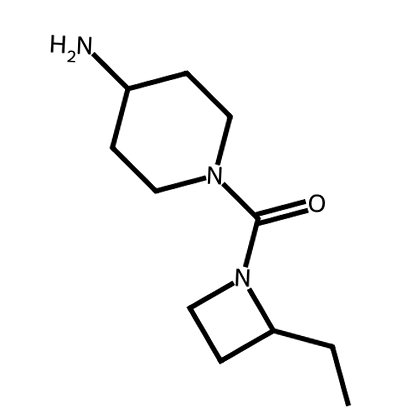 CCC1CCN1C(=O)N1CCC(N)CC1